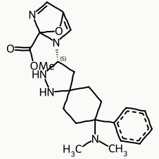 COC(=O)C12N=CC(=CN1[C@@H]1CC3(CCC(c4ccccc4)(N(C)C)CC3)NN1)O2